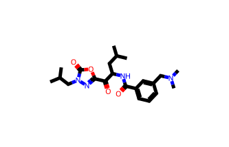 CC(C)CC(NC(=O)c1cccc(CN(C)C)c1)C(=O)c1nn(CC(C)C)c(=O)o1